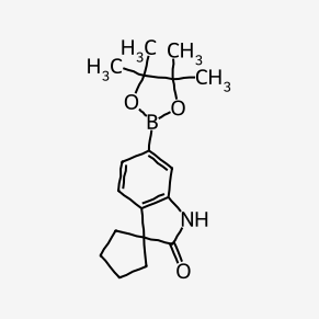 CC1(C)OB(c2ccc3c(c2)NC(=O)C32CCCC2)OC1(C)C